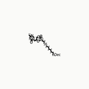 CCCCCCCCCCCCCCCCSSCCOP1(=O)COC(Cn2cnc(C)nc2=O)CO1